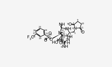 N=C1N[C@H]2[C@H](CN3C(=O)CCC3=O)NC(=N)N3C[C@H](OS(=O)(=O)c4cccc(C(F)(F)F)c4)C(O)(O)[C@]23N1